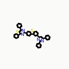 c1ccc(-c2cc(-c3ccc4sc5cc(-c6nc(-c7ccccc7)c7sc8ccccc8c7n6)ccc5c4c3)nc(-c3ccccc3)n2)cc1